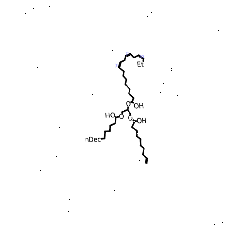 C=CCCCCCCCC(O)OCC(COC(O)CCCCCCCCCCCCCCC)OC(O)CCCCCCC/C=C\C/C=C\C/C=C\CC